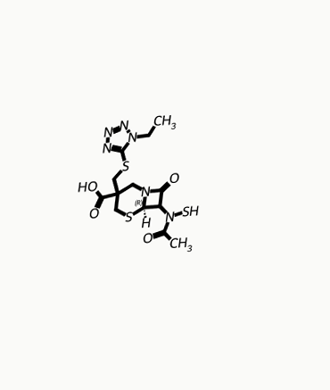 CCn1nnnc1SCC1(C(=O)O)CS[C@@H]2C(N(S)C(C)=O)C(=O)N2C1